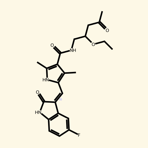 CCOC(CNC(=O)c1c(C)[nH]c(/C=C2\C(=O)Nc3ccc(F)cc32)c1C)CC(C)=O